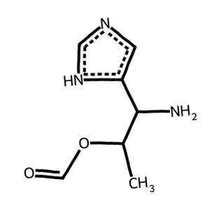 CC(OC=O)C(N)c1cnc[nH]1